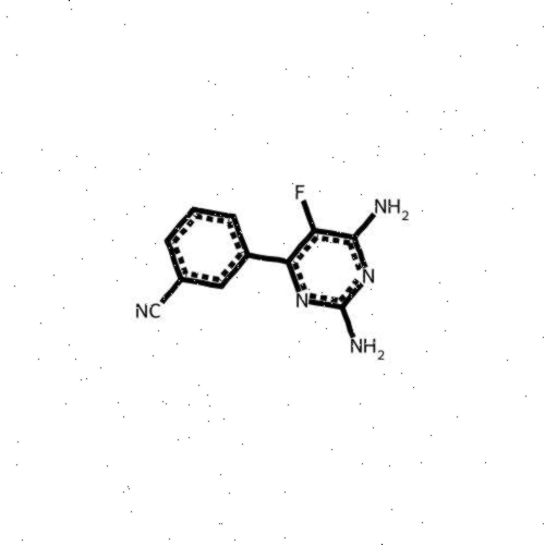 N#Cc1cccc(-c2nc(N)nc(N)c2F)c1